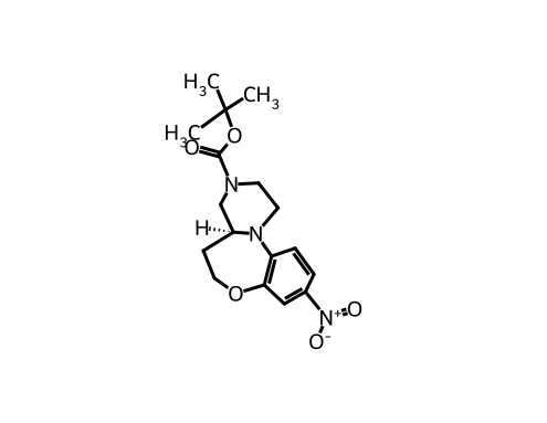 CC(C)(C)OC(=O)N1CCN2c3ccc([N+](=O)[O-])cc3OCC[C@H]2C1